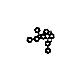 CC1CC(C2=CC=CCC2)CC=C1N(C1=CCCc2oc3c(c21)C=CCC3)C1C=Cc2c(c3c(n2C2C=CCCC2)CC(C2C=CC=CC2)CC3)C1